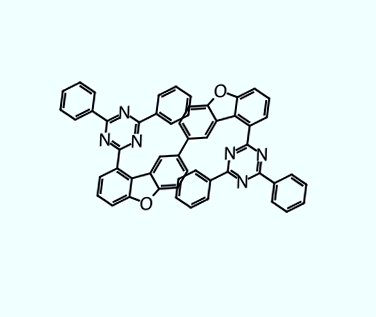 c1ccc(-c2nc(-c3ccccc3)nc(-c3cccc4oc5ccc(-c6ccc7oc8cccc(-c9nc(-c%10ccccc%10)nc(-c%10ccccc%10)n9)c8c7c6)cc5c34)n2)cc1